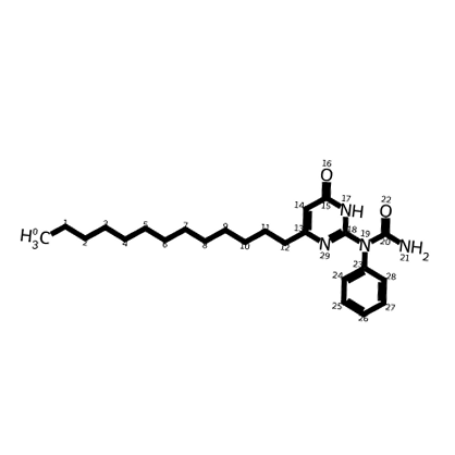 CCCCCCCCCCCCCc1cc(=O)[nH]c(N(C(N)=O)c2ccccc2)n1